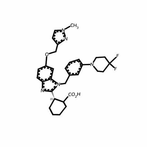 Cn1ccc(COc2ccc3nc([C@H]4CCCCC4C(=O)O)n(Cc4cccc(N5CCC(F)(F)CC5)c4)c3c2)n1